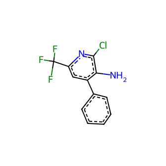 Nc1c(-c2ccccc2)cc(C(F)(F)F)nc1Cl